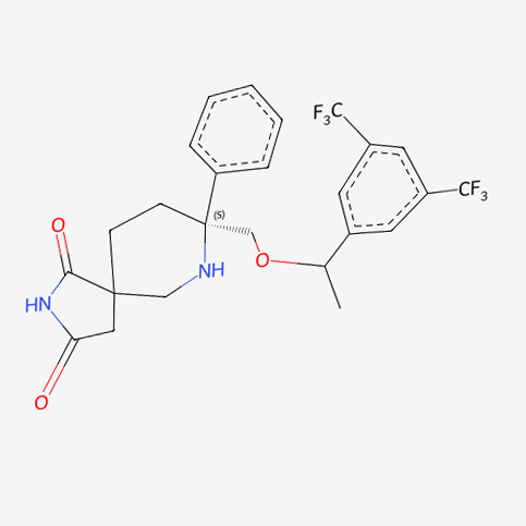 CC(OC[C@@]1(c2ccccc2)CCC2(CN1)CC(=O)NC2=O)c1cc(C(F)(F)F)cc(C(F)(F)F)c1